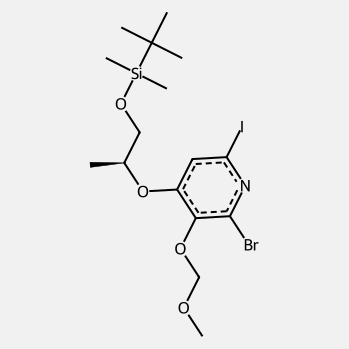 COCOc1c(O[C@@H](C)CO[Si](C)(C)C(C)(C)C)cc(I)nc1Br